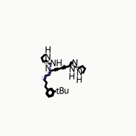 CC(C)(C)c1cccc(CC\C=C/C=C(C#CC#Cc2cnc([C@@H]3CCCN3)[nH]2)\N=C(/N)[C@@H]2CCCN2)c1